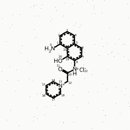 Nc1cccc2ccc(NC(=O)C[n+]3ccccc3)c(O)c12.[Cl-]